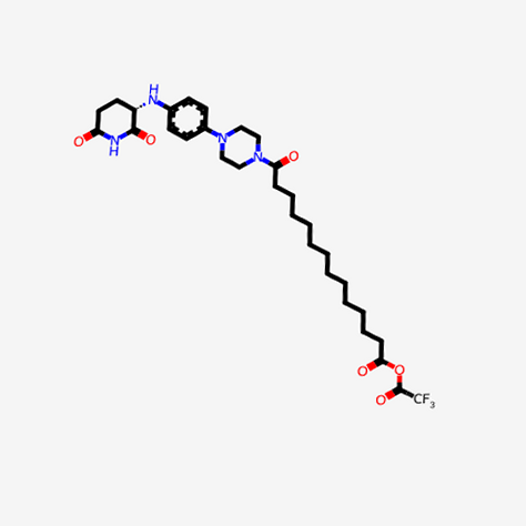 O=C1CC[C@H](Nc2ccc(N3CCN(C(=O)CCCCCCCCCCCCC(=O)OC(=O)C(F)(F)F)CC3)cc2)C(=O)N1